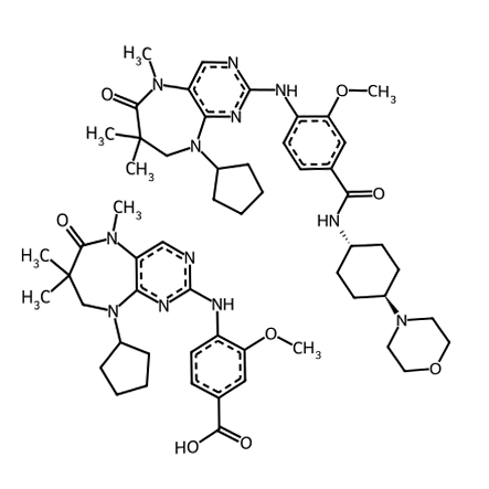 COc1cc(C(=O)N[C@H]2CC[C@H](N3CCOCC3)CC2)ccc1Nc1ncc2c(n1)N(C1CCCC1)CC(C)(C)C(=O)N2C.COc1cc(C(=O)O)ccc1Nc1ncc2c(n1)N(C1CCCC1)CC(C)(C)C(=O)N2C